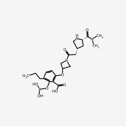 CCCc1ccc(OC2CN(C(=O)C[C@@H]3CN[C@H](C(=O)N(C)C)C3)C2)c(C(=O)O)c1OB(O)O